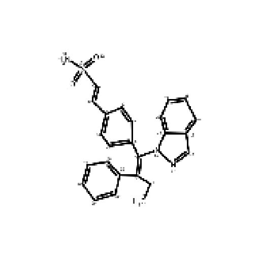 CC/C(=C(/c1ccc(/C=C/S(N)(=O)=O)cc1)n1ncc2ccccc21)c1ccccc1